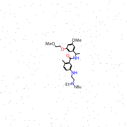 CCCCN(CC)CCNc1ccc(C)c(C(=O)NC(C)c2cc(OC)cc(OCCOC)c2)c1